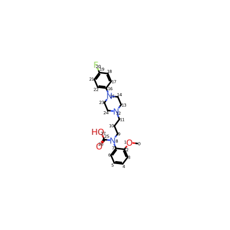 COc1ccccc1N(CCCN1CCN(c2ccc(F)cc2)CC1)C(=O)O